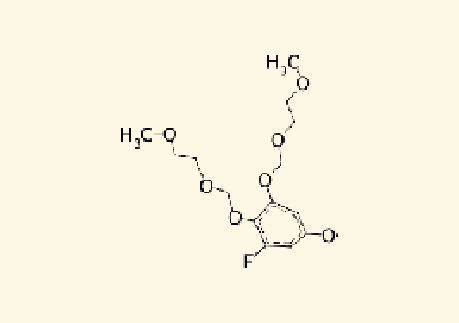 COCCOCOc1cc([O])cc(F)c1OCOCCOC